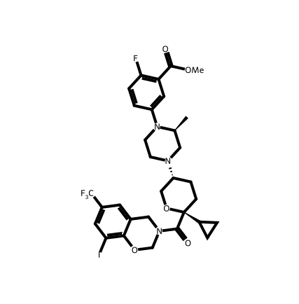 COC(=O)c1cc(N2CCN([C@@H]3CC[C@@](C(=O)N4COc5c(I)cc(C(F)(F)F)cc5C4)(C4CC4)OC3)C[C@@H]2C)ccc1F